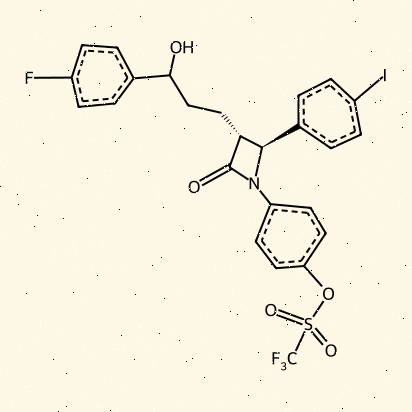 O=C1[C@H](CCC(O)c2ccc(F)cc2)[C@@H](c2ccc(I)cc2)N1c1ccc(OS(=O)(=O)C(F)(F)F)cc1